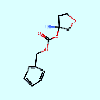 NC1(OC(=O)OCc2ccccc2)CCOC1